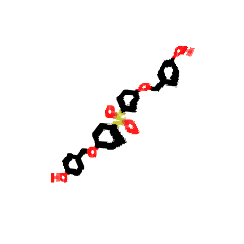 O=S(=O)(c1ccc(OCc2ccc(O)cc2)cc1)c1ccc(OCc2ccc(O)cc2)cc1